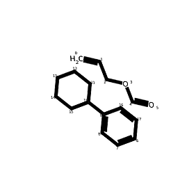 C=CCOC=O.c1ccc(C2CCCCC2)cc1